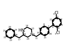 Clc1ccc(Cl)c(-c2ccc(CN3CCNC(Cc4ccccc4)C3)cc2)c1